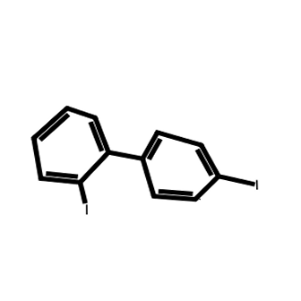 Ic1[c]cc(-c2ccccc2I)cc1